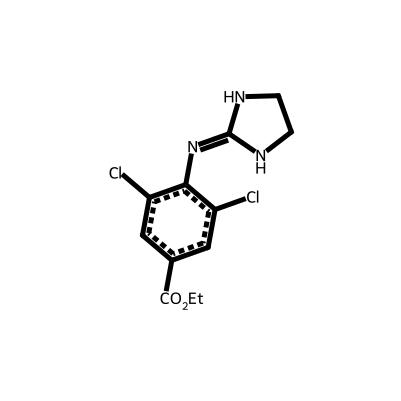 CCOC(=O)c1cc(Cl)c(N=C2NCCN2)c(Cl)c1